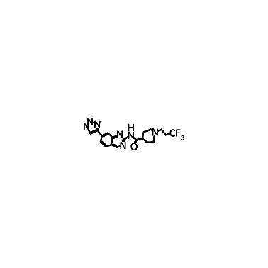 Cn1nncc1-c1ccc2cnc(NC(=O)C3CCN(CCC(F)(F)F)CC3)nc2c1